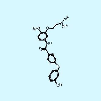 CCCN(CCC)CCOc1cc(NC(=O)c2ccc(Oc3cccc(O)c3)cc2)ccc1OC